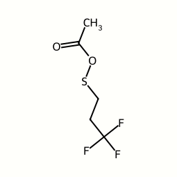 CC(=O)OSCCC(F)(F)F